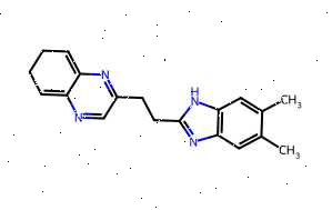 Cc1cc2nc(CCc3cnc4c(n3)=CCCC=4)[nH]c2cc1C